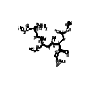 CC(C)(C)OC(=O)C[C@H](NCC(NC[C@H](N)C(=O)O)C(=O)O)C(=O)OC(C)(C)C